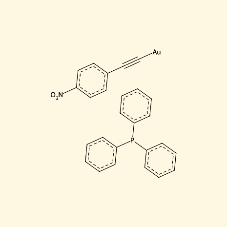 O=[N+]([O-])c1ccc(C#[C][Au])cc1.c1ccc(P(c2ccccc2)c2ccccc2)cc1